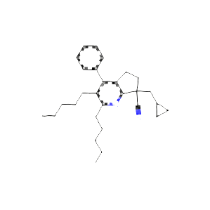 CCCCCc1nc2c(c(-c3ccccc3)c1CCCCC)CCC2(C#N)CC1CC1